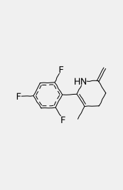 C=C1CCC(C)=C(c2c(F)cc(F)cc2F)N1